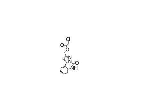 O=C(CCl)OCc1cc2c3ccccc3[nH]c(=O)n2n1